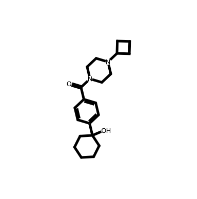 O=C(c1ccc(C2(O)CCCCC2)cc1)N1CCN(C2CCC2)CC1